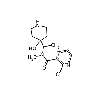 CC(N(C)C(=O)c1cccnc1Cl)C1(O)CCNCC1